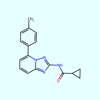 Cc1ccc(-c2cccc3nc(NC(=O)C4CC4)nn23)cc1